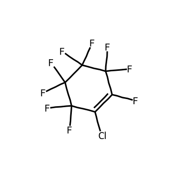 FC1=C(Cl)C(F)(F)C(F)(F)C(F)(F)C1(F)F